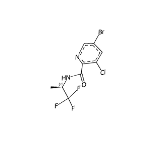 C[C@@H](NC(=O)c1ncc(Br)cc1Cl)C(F)(F)F